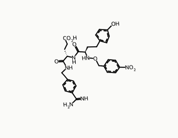 N=C(N)c1ccc(CNC(=O)[C@H](CCC(=O)O)NC(=O)[C@@H](CCc2ccc(O)cc2)NOCc2ccc([N+](=O)[O-])cc2)cc1